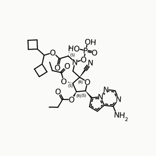 CCC(=O)O[C@@H]1[C@H](c2ccc3c(N)ncnn23)O[C@@](C#N)(CN(OP(=O)(O)O)[C@@H](C)C(=O)OC(C2CCC2)C2CCC2)[C@H]1OC(=O)CC